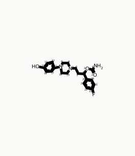 NC(=O)OC(CCN1CCN(c2ccc(O)cc2)CC1)c1ccc(F)cc1